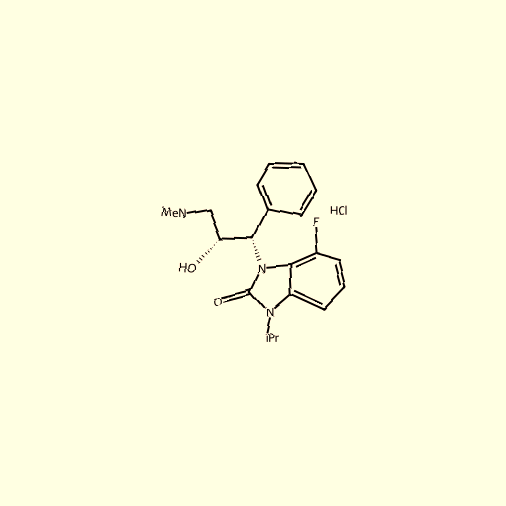 CNC[C@@H](O)[C@H](c1ccccc1)n1c(=O)n(C(C)C)c2cccc(F)c21.Cl